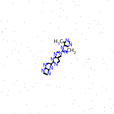 C=N/C(=N\c1cncnc1C)[n+]1cnc2nc(-c3cnc4nccnc4n3)ncc2c1